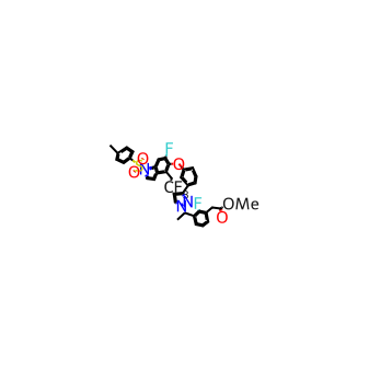 COC(=O)Cc1cccc(C(C)n2ccc(-c3cccc(Oc4c(F)cc5c(ccn5S(=O)(=O)c5ccc(C)cc5)c4CC(F)(F)F)c3)n2)c1F